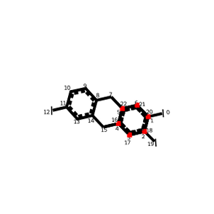 Ic1ccc2c(c1)C1c3ccc(I)cc3C2c2cc(I)ccc21